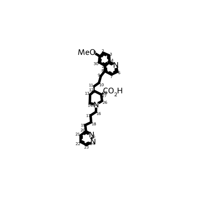 COc1ccc2nccc(CCC[C@@H]3CCN(CCCCc4cccnn4)C[C@@H]3C(=O)O)c2c1